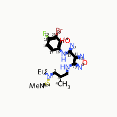 CCN(C[C@@H](C)CNc1nonc1/C(=N/O)Nc1ccc(F)c(Br)c1)SNC